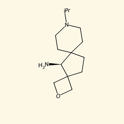 CC(C)N1CCC2(CC1)CCC1(COC1)[C@H]2N